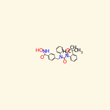 CC(C)(C)c1ccccc1-n1c(=O)c2ccccc2n(Cc2ccc(C(=O)NO)cc2)c1=O